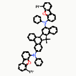 CC(C)c1cccc2c1oc1c(N(c3ccccc3)c3ccc4c5c(c6ccccc6c4c3)-c3cc(N(c4ccccc4)c4cccc6c4oc4c(C(C)C)cccc46)c4ccccc4c3C5(C)C)cccc12